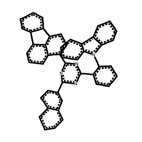 c1ccc2c(c1)-c1cccc3c(-c4nc(-c5ccc6ccccc6c5)nc(-c5ccccc5-n5c6ccccc6c6ccccc65)n4)ccc-2c13